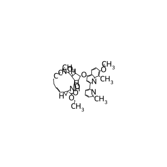 CCOC(=O)[C@@]12C[C@H]1/C=C\CCCCN(C)C(=O)[C@@H]1C[C@H](Oc3cc(-c4cccc(C)n4)nc4c(C)c(OC)ccc34)C[C@H]1C(=O)N2